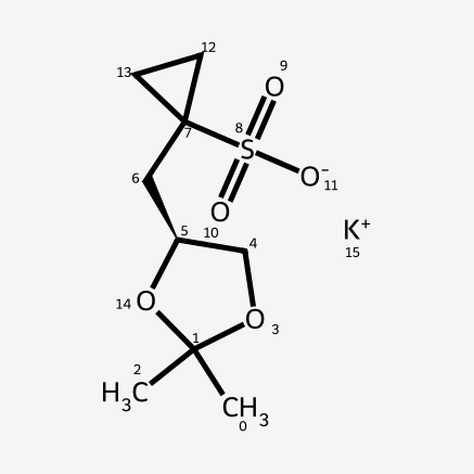 CC1(C)OC[C@H](CC2(S(=O)(=O)[O-])CC2)O1.[K+]